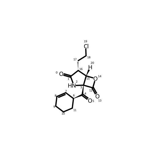 O=C1N[C@@]2(C(=O)[C@@H]3C=CCCC3)C(=O)O[C@H]2[C@H]1CCCl